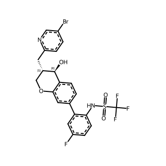 O=S(=O)(Nc1ccc(F)cc1-c1ccc2c(c1)OC[C@H](Cc1ccc(Br)cn1)[C@H]2O)C(F)(F)F